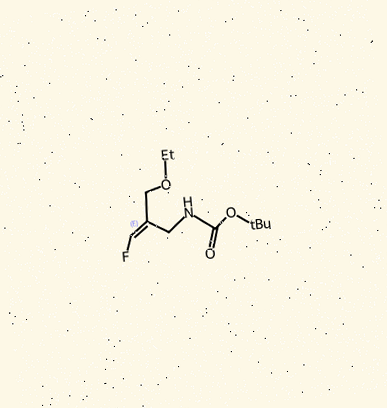 CCOC/C(=C/F)CNC(=O)OC(C)(C)C